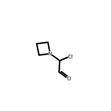 O=CC(Cl)N1CCC1